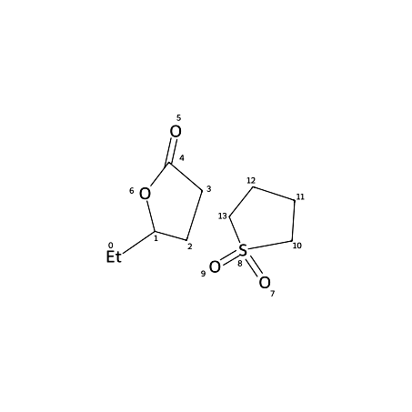 CCC1CCC(=O)O1.O=S1(=O)CCCC1